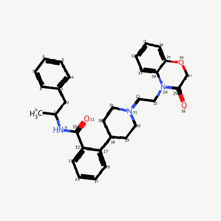 CC(Cc1ccccc1)NC(=O)c1ccccc1C1CCN(CCN2C(=O)COc3ccccc32)CC1